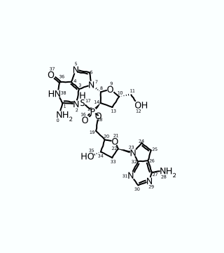 Nc1nc2c(ncn2[C@@H]2O[C@H](CO)C[C@H]2P(=O)(S)OCC2O[C@@H](n3ccc4c(N)ncnc43)C[C@@H]2O)c(=O)[nH]1